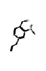 C=CCc1ccc(CBr)c([SiH](C)C)c1